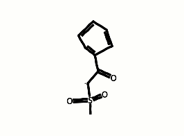 CS(=O)(=O)[CH]C(=O)c1ccccc1